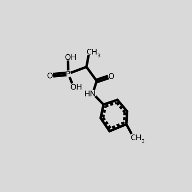 Cc1ccc(NC(=O)C(C)P(=O)(O)O)cc1